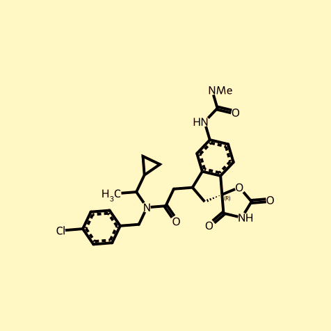 CNC(=O)Nc1ccc2c(c1)C(CC(=O)N(Cc1ccc(Cl)cc1)C(C)C1CC1)C[C@@]21OC(=O)NC1=O